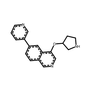 c1cncc(-c2ccc3cncc(OC4CCNC4)c3c2)c1